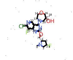 CN1C[C@H](F)C[C@H]1COc1nc(N2CCOC[C@@](C)(O)C2)c2cnc(Cl)c(F)c2n1